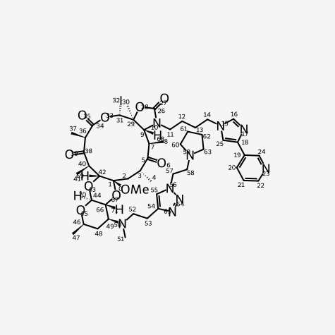 CO[C@]12C[C@@H](C)C(=O)[C@H](C)[C@H]3N(CCCCn4cnc(-c5cccnc5)c4)C(=O)O[C@]3(C)[C@@H](I)OC(=O)[C@H](C)C(=O)[C@H](C)[C@H]1O[C@@H]1O[C@H](C)C[C@H](N(C)CCc3cn(CCN4CCCC4)nn3)[C@H]1O2